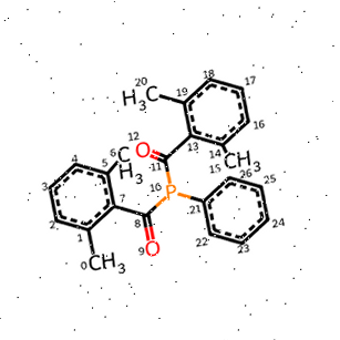 Cc1cccc(C)c1C(=O)P(C(=O)c1c(C)cccc1C)c1ccccc1